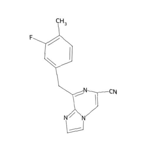 Cc1ccc(Cc2nc(C#N)cn3ccnc23)cc1F